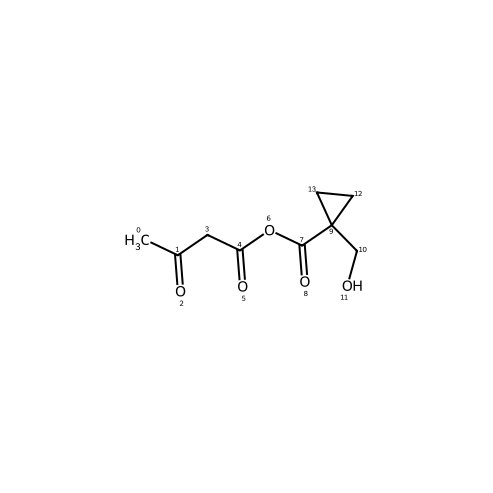 CC(=O)CC(=O)OC(=O)C1(CO)CC1